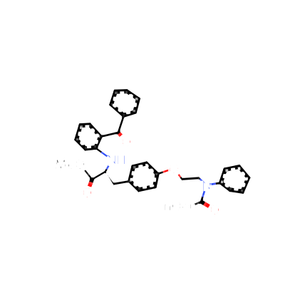 CCCCCCCCC(=O)N(CCOc1ccc(C[C@H](Nc2ccccc2C(=O)c2ccccc2)C(=O)OC)cc1)c1ccccc1